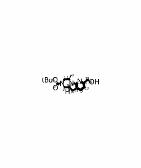 C[C@@H]1CN(C(=O)OC(C)(C)C)C[C@@H]2Cc3ccc(CO)nc3N21